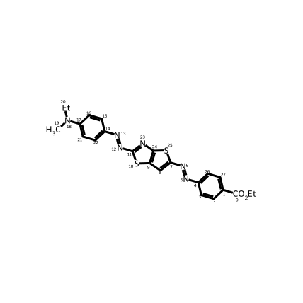 CCOC(=O)c1ccc(N=Nc2cc3sc(N=Nc4ccc(N(C)CC)cc4)nc3s2)cc1